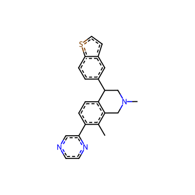 Cc1c(-c2cnccn2)ccc2c1CN(C)CC2c1ccc2sccc2c1